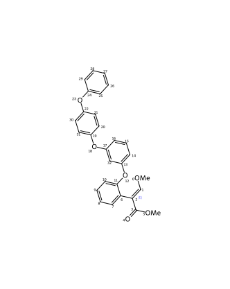 CO/C=C(/C(=O)OC)c1ccccc1Oc1cccc(Oc2ccc(Oc3ccccc3)cc2)c1